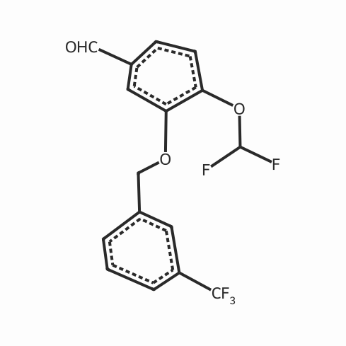 O=Cc1ccc(OC(F)F)c(OCc2cccc(C(F)(F)F)c2)c1